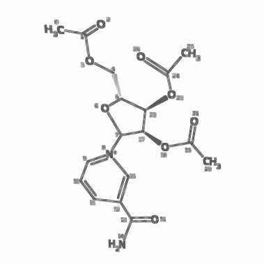 CC(=O)OC[C@H]1OC([n+]2cccc(C(N)=O)c2)[C@H](OC(C)=O)[C@@H]1OC(C)=O